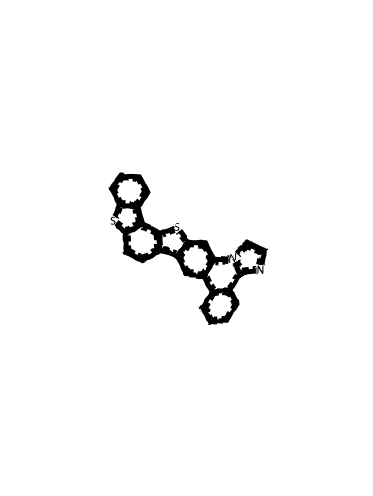 c1ccc2c(c1)sc1ccc3c4cc5c6ccccc6c6nccn6c5cc4sc3c12